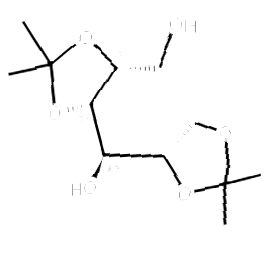 CC1(C)OC[C@@H]([C@@H](O)[C@@H]2OC(C)(C)O[C@@H]2CO)O1